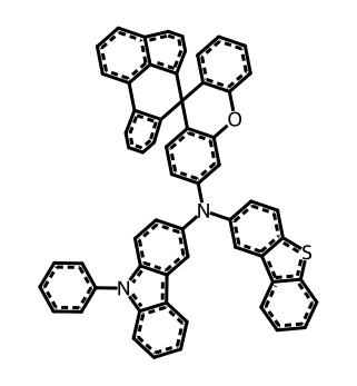 c1ccc(-n2c3ccccc3c3cc(N(c4ccc5c(c4)Oc4ccccc4C54c5ccccc5-c5cccc6cccc4c56)c4ccc5sc6ccccc6c5c4)ccc32)cc1